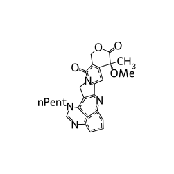 CCCCCN1C=Nc2cccc3nc4c(c1c23)Cn1c-4cc2c(c1=O)COC(=O)[C@@]2(C)OC